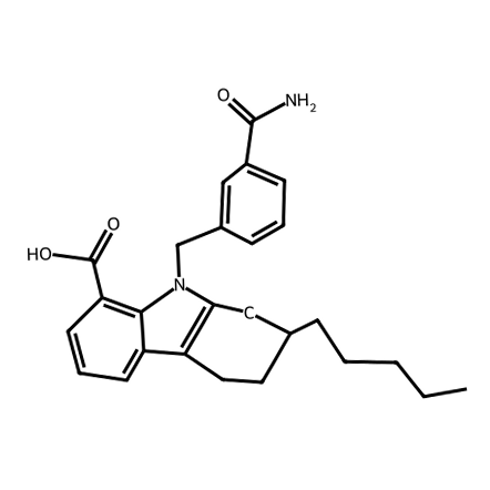 CCCCCC1CCc2c(n(Cc3cccc(C(N)=O)c3)c3c(C(=O)O)cccc23)C1